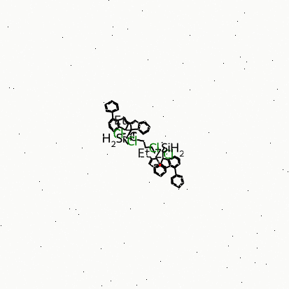 CCC1=Cc2ccccc2[CH]1[Zr]([Cl])([Cl])([CH2]CCCC[CH2][Zr]([Cl])([Cl])([SiH2]C)([CH]1C(CC)=Cc2ccccc21)[CH]1C(C)=Cc2c(-c3ccccc3)cccc21)([SiH2]C)[CH]1C(C)=Cc2c(-c3ccccc3)cccc21